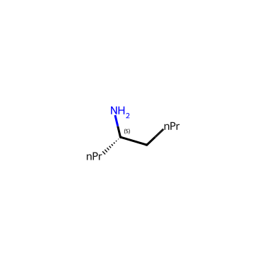 CCCC[C@@H](N)CCC